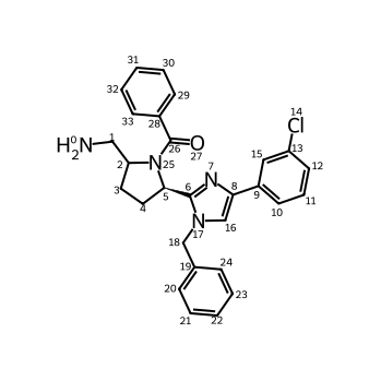 NCC1CC[C@H](c2nc(-c3cccc(Cl)c3)cn2Cc2ccccc2)N1C(=O)c1ccccc1